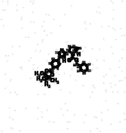 CC1(C)OB(c2ccc(-c3cnc([C@@H]4CC5C[C@H]5N4C(=O)OCc4ccccc4)[nH]3)cc2)OC1(C)C